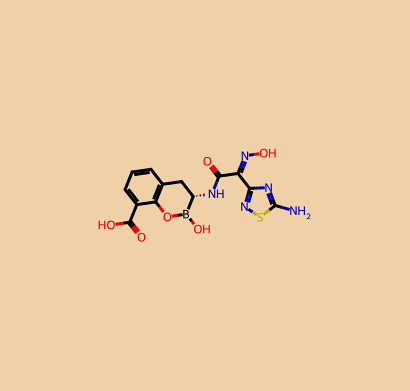 Nc1nc(/C(=N\O)C(=O)N[C@H]2Cc3cccc(C(=O)O)c3OB2O)ns1